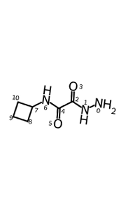 NNC(=O)C(=O)NC1CCC1